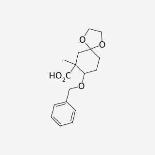 CC1(C(=O)O)CC2(CCC1OCc1ccccc1)OCCO2